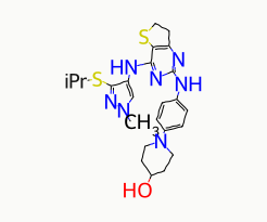 CC(C)Sc1nn(C)cc1Nc1nc(Nc2ccc(N3CCC(O)CC3)cc2)nc2c1SCC2